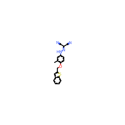 Cc1cc(NN=C(C#N)C#N)ccc1OCc1cc2ccccc2s1